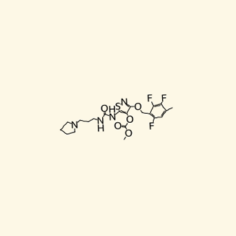 COC(=O)Oc1c(OCc2c(F)cc(C)c(F)c2F)nsc1NC(=O)NCCCN1CCCC1